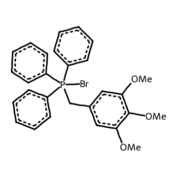 COc1cc(CP(Br)(c2ccccc2)(c2ccccc2)c2ccccc2)cc(OC)c1OC